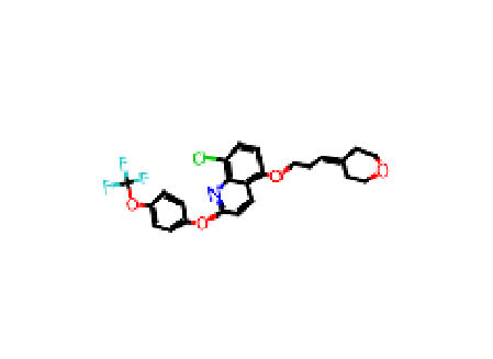 FC(F)(F)Oc1ccc(Oc2ccc3c(OCCC=C4CCOCC4)ccc(Cl)c3n2)cc1